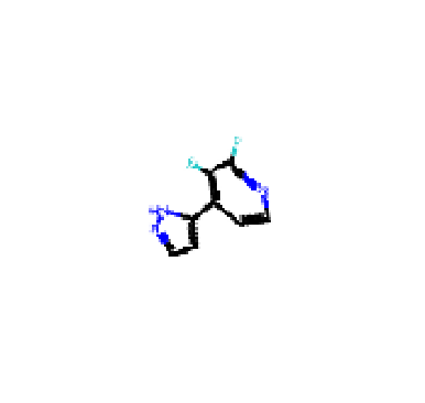 Fc1nccc(-c2ccn[nH]2)c1F